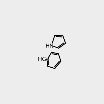 C1=C[CH]=[GeH][CH]=C1.c1cc[nH]c1